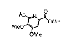 COC(=O)c1cc(OC)c(OC)c(C(C)=O)n1